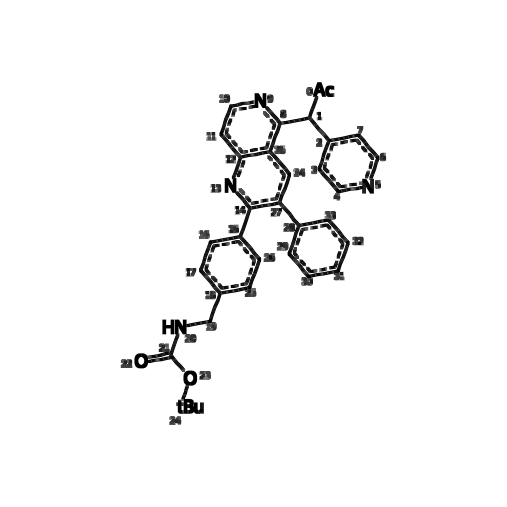 CC(=O)C(c1ccncc1)c1nccc2nc(-c3ccc(CNC(=O)OC(C)(C)C)cc3)c(-c3ccccc3)cc12